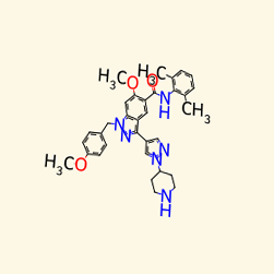 COc1ccc(Cn2nc(-c3cnn(C4CCNCC4)c3)c3cc(C(=O)Nc4c(C)cccc4C)c(OC)cc32)cc1